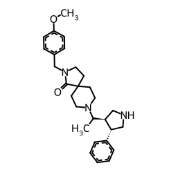 COc1ccc(CN2CCC3(CCN(C(C)[C@H]4CNC[C@@H]4c4ccccc4)CC3)C2=O)cc1